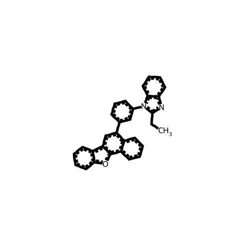 CCc1nc2ccccc2n1-c1cccc(-c2cc3c4ccccc4oc3c3ccccc23)c1